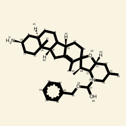 CC1=C2C[C@H]3C(CC[C@@H]4C[C@H](N)CCC43C)[C@@H]2CCC12O[C@@H]1CC(C)CN(C(O)OCc3ccccc3)C1[C@H]2C